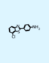 Nc1ccc(-c2nc3cccc(Cl)c3s2)cc1